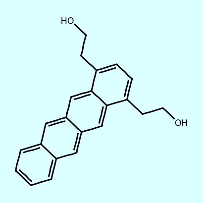 OCCc1ccc(CCO)c2cc3cc4ccccc4cc3cc12